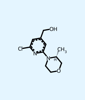 C[C@@H]1COCCN1c1cc(CO)cc(Cl)n1